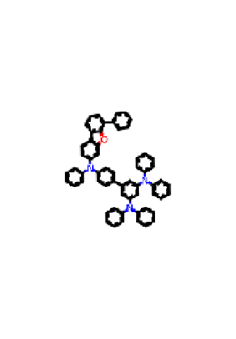 c1ccc(-c2cccc3c2oc2cc(N(c4ccccc4)c4ccc(-c5cc(N(c6ccccc6)c6ccccc6)cc(N(c6ccccc6)c6ccccc6)c5)cc4)ccc23)cc1